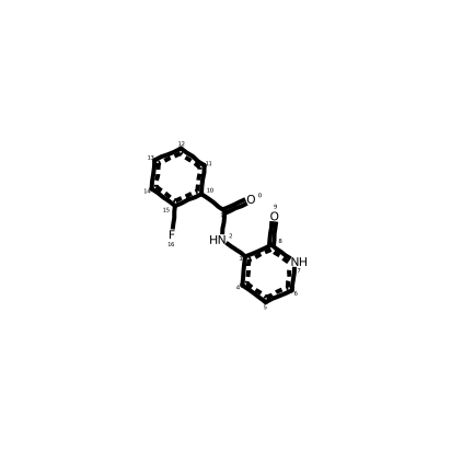 O=C(Nc1ccc[nH]c1=O)c1ccccc1F